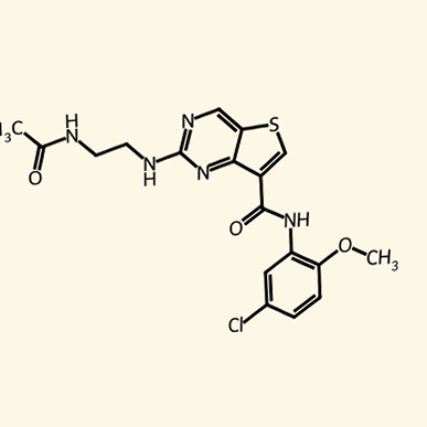 COc1ccc(Cl)cc1NC(=O)c1csc2cnc(NCCNC(C)=O)nc12